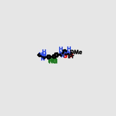 COC(=O)NC(C(=O)N1CCCC1c1ncc(-c2ccc3cc(-c4ccc(-c5cnc(C6CCCN6)[nH]5)cc4)ccc3c2)[nH]1)C(C)C.Cl.Cl.Cl